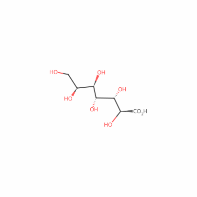 O=C(O)[C@@H](O)[C@@H](O)[C@H](O)[C@H](O)[C@@H](O)CO